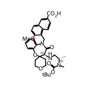 COc1ccc2cc(C(=O)O)ccc2c1CN1C(=O)[C@@H](NC[C@H](C)N(C)C(=O)OC(C)(C)C)C2(CCOCC2)Oc2ccccc21